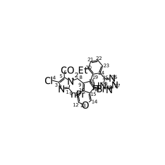 CCCc1nc(Cl)c(C(=O)OCC)n1Cc1c2ccocc-2c(Br)c1-c1ccccc1-c1nnn[nH]1